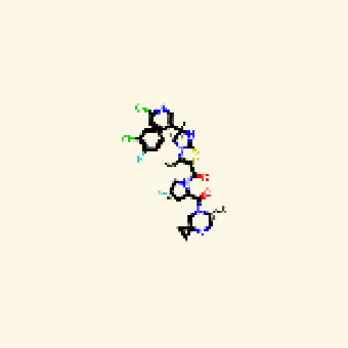 CC[C@@H]1CNC2(CC2)CN1C(=O)C1C[C@@H](F)CN1C(=O)C1=C(C(C)C)N2C(=N[C@@](C)(c3ccc(Cl)nc3)[C@H]2c2ccc(Cl)c(F)c2)S1